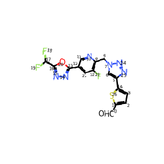 O=Cc1ccc(-c2cn(Cc3ncc(-c4nnc(C(F)F)o4)cc3F)nn2)s1